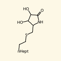 CCCCCCCCCSCC1NC(=O)C(O)C1O